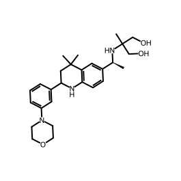 C[C@H](NC(C)(CO)CO)c1ccc2c(c1)C(C)(C)CC(c1cccc(N3CCOCC3)c1)N2